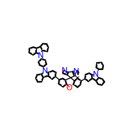 c1ccc(-n2c3ccccc3c3cc(-c4ccc5c(c4)C4(c6cc(-c7ccc8c(c7)c7ccccc7n8-c7ccc(-n8c9ccccc9c9ccccc98)cc7)ccc6O5)c5cccnc5-c5ncccc54)ccc32)cc1